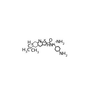 CC(C)(C)C1CCc2nc3sc(C(=O)N[C@H](CN)c4ccc(N)cc4)cc3cc2C1